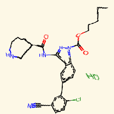 CCCCCOC(=O)n1nc(NC(=O)[C@@H]2CCCNC2)c2cc(-c3cc(C#N)ccc3Cl)ccc21.Cl